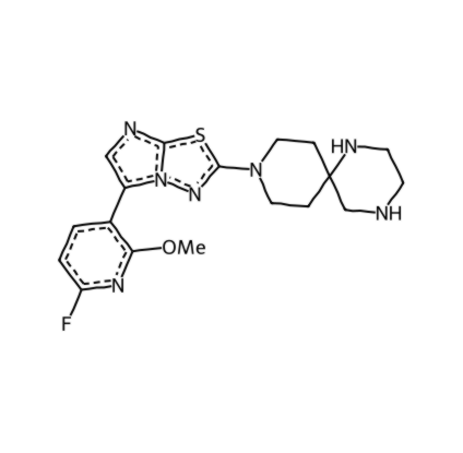 COc1nc(F)ccc1-c1cnc2sc(N3CCC4(CC3)CNCCN4)nn12